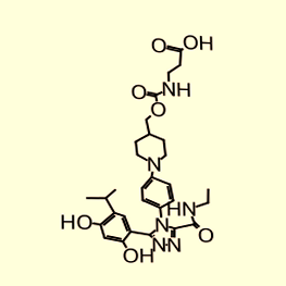 CCNC(=O)c1nnc(-c2cc(C(C)C)c(O)cc2O)n1-c1ccc(N2CCC(COC(=O)NCCC(=O)O)CC2)cc1